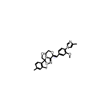 COc1cc(/C=C2\OCCN3C2=NOC3(CO)c2ccc(C)cc2F)ccc1-n1cnc(C)c1